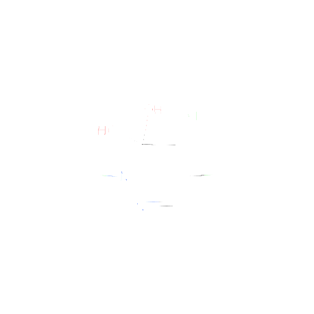 OC1(O)C(Cl)=C(Cl)C=NN1Cl